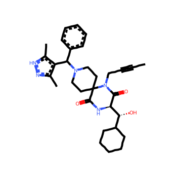 CC#CCN1C(=O)[C@@H]([C@H](O)C2CCCCC2)NC(=O)C12CCN(C(c1ccccc1)c1c(C)n[nH]c1C)CC2